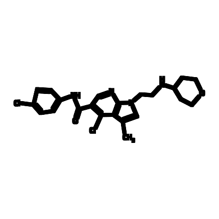 Cc1cn(CCNC2CCOCC2)c2ncc(C(=O)Nc3ccc(Cl)cc3)c(Cl)c12